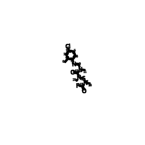 Cc1cc(Cl)ccc1N=CN(C)C(=O)N(C)SN(C)C(=O)F